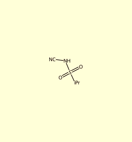 CC(C)S(=O)(=O)NC#N